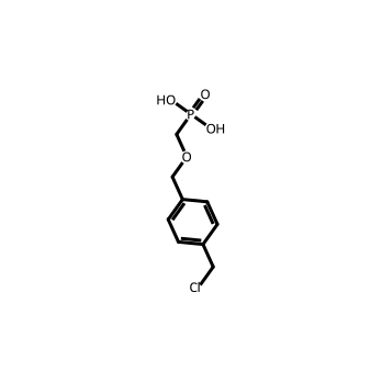 O=P(O)(O)COCc1ccc(CCl)cc1